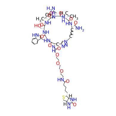 CC(C)[C@H]1NC(=O)[C@@H](CC(N)=O)NC(=O)[C@@H](C(C)C)NC(=O)[C@@H](CO)NC(=O)[C@@H](Cc2c[nH]c3ccccc23)NC(=O)[C@@H](NC(=O)COCCOCCOCCNC(=O)CCCC[C@H]2SC[C@H]3NC(=O)N[C@H]32)Cc2cn(nn2)CCCC[C@@H](C(N)=O)NC1=O